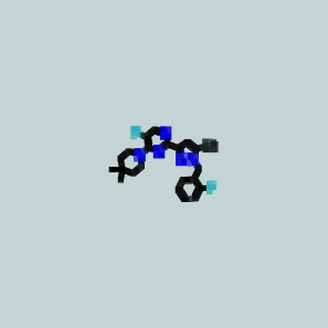 CCc1cc(-c2ncc(F)c(N3CCC(C)(C)CC3)n2)nn1Cc1ccccc1F